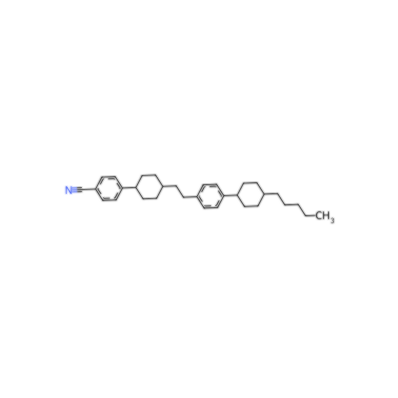 CCCCCC1CCC(c2ccc(CCC3CCC(c4ccc(C#N)cc4)CC3)cc2)CC1